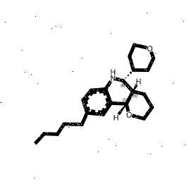 CCCCCc1ccc2c(c1)[C@H]1OCCC[C@H]1[C@@H](C1CCOCC1)N2